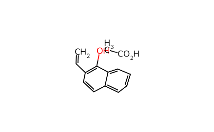 C=Cc1ccc2ccccc2c1O.CC(=O)O